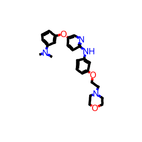 CN(C)c1cccc(Oc2ccc(Nc3cccc(OCCN4CCOCC4)c3)nc2)c1